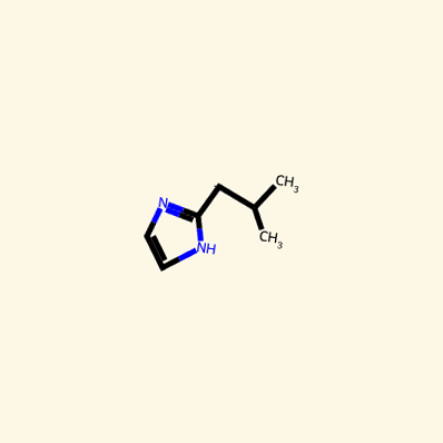 CC(C)[CH]c1ncc[nH]1